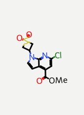 COC(=O)c1cc(Cl)nc2c1ccn2C1CS(=O)(=O)C1